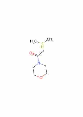 C[SH](C)CC(=O)N1CCOCC1